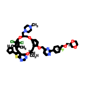 Cc1c(Cl)c2c(Cl)c(C)c1-c1c(C3=CCCC3)sc3ncnc(c13)O[C@@H](C(=O)O)Cc1cc(ccc1OCc1ccnc(C3=CC[C@@](F)(COC[C@H]4COCCO4)CC3)n1)OCC(CN1CCN(C)CC1)O2